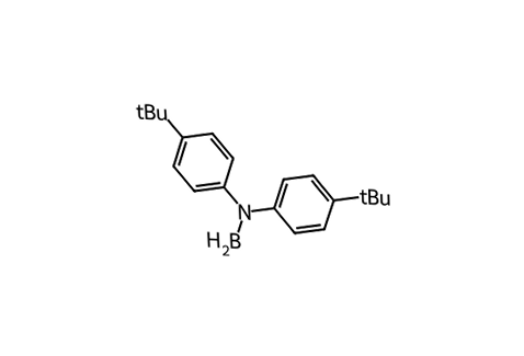 BN(c1ccc(C(C)(C)C)cc1)c1ccc(C(C)(C)C)cc1